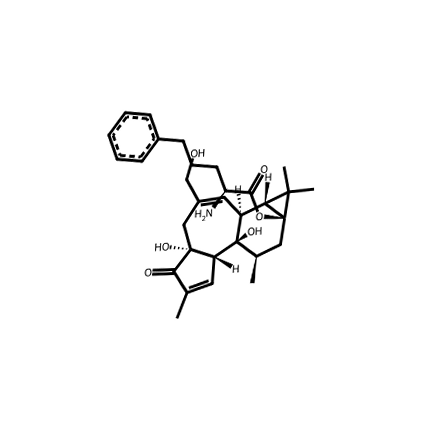 CC1=C[C@H]2[C@@]3(O)[C@H](C)C[C@]4(OC(=O)[C@@H](N)CCCc5ccccc5)[C@H]([C@@H]3C=C(CO)C[C@]2(O)C1=O)C4(C)C